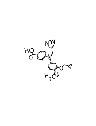 COc1ccc(N(Cc2cncnc2)c2ccc(C(=O)O)cc2)cc1OCC1CC1